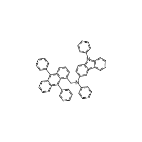 c1ccc(-c2c3ccccc3c(-c3ccccc3)c3c(CN(c4ccccc4)c4ccc5c(c4)c4ccccc4n5-c4ccccc4)cccc23)cc1